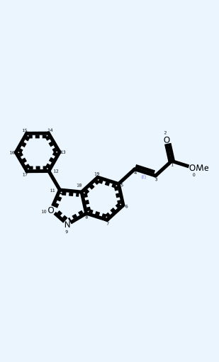 COC(=O)/C=C/c1ccc2noc(-c3ccccc3)c2c1